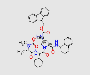 CC(C(=O)NC(C(=O)N1C[C@@H](NC(=O)OCC2c3ccccc3-c3ccccc32)C[C@H]1C(=O)NC1CCCc2ccccc21)C1CCCCC1)N(C)C(=O)OC(C)(C)C